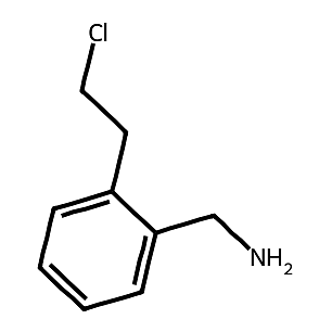 NCc1ccccc1CCCl